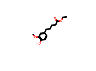 CCOC(=O)CCCCc1ccc(O)c(OC)c1